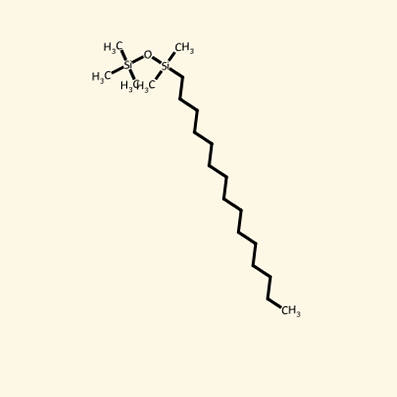 CCCCCCCCCCCCCCC[Si](C)(C)O[Si](C)(C)C